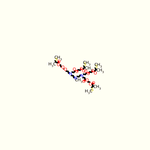 CSCC(C)C(=O)OCCOCOCCCN(CCCN(C)CCCN(CCC(=O)OCCOC(=O)C(C)CSC)CCC(=O)OCCOC(=O)C(C)CSC)CCC(=O)OCCOC(=O)C(C)CSC